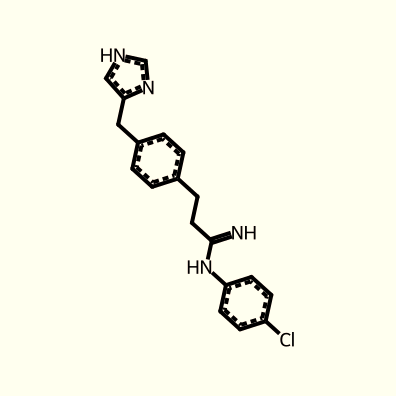 N=C(CCc1ccc(Cc2c[nH]cn2)cc1)Nc1ccc(Cl)cc1